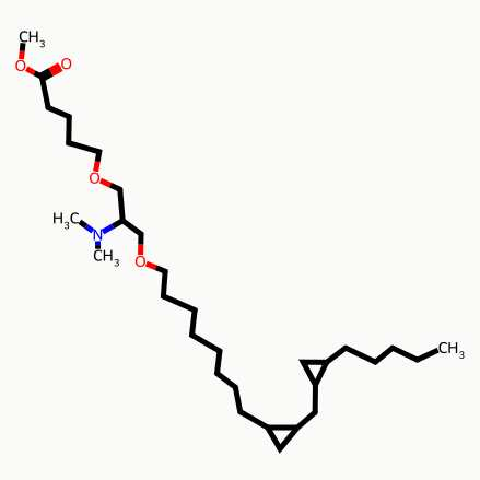 CCCCCC1CC1CC1CC1CCCCCCCCOCC(COCCCCC(=O)OC)N(C)C